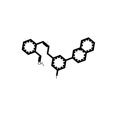 C=Cc1ccccc1/C=C\Cc1cc(I)cc(-c2ccc3ccccc3c2)c1